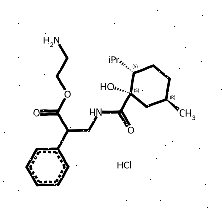 CC(C)[C@@H]1CC[C@@H](C)C[C@@]1(O)C(=O)NCC(C(=O)OCCN)c1ccccc1.Cl